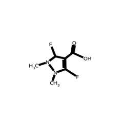 CN1C(F)=C(C(=O)O)C(F)N1C